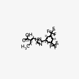 CC/C(=C\n1cnc(-c2cc(C(F)(F)F)cc(C(F)(F)F)c2)n1)C(=O)O